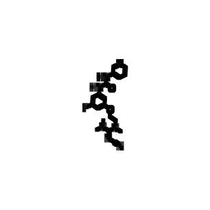 CN(C)/C(=N/C#N)N(C)CCOc1cc(F)cc(NC(=O)Nc2cccnc2)c1